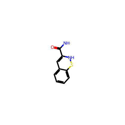 [NH]C(=O)C1=Cc2ccccc2SN1